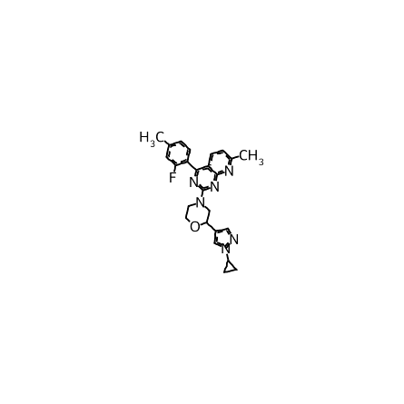 Cc1ccc(-c2nc(N3CCOC(c4cnn(C5CC5)c4)C3)nc3nc(C)ccc23)c(F)c1